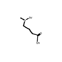 CN(S)CCCC(=O)O